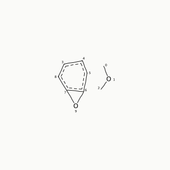 COC.c1ccc2c(c1)O2